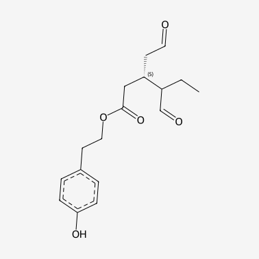 CCC(C=O)[C@@H](CC=O)CC(=O)OCCc1ccc(O)cc1